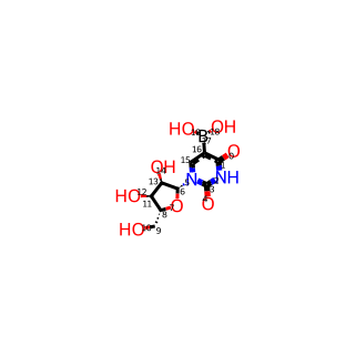 O=c1[nH]c(=O)n([C@@H]2O[C@H](CO)[C@@H](O)[C@H]2O)cc1B(O)O